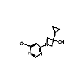 OC1(C2CC2)CN(c2cc(Cl)ncn2)C1